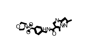 Cc1cc2ncc(C(=O)NCc3ccc(S(=O)(=O)N4CCOCC4)cc3)c(C)n2n1